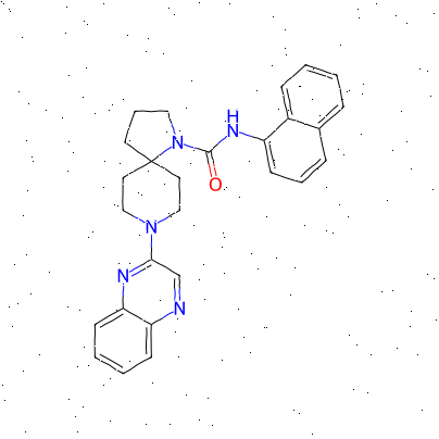 O=C(Nc1cccc2ccccc12)N1CCCC12CCN(c1cnc3ccccc3n1)CC2